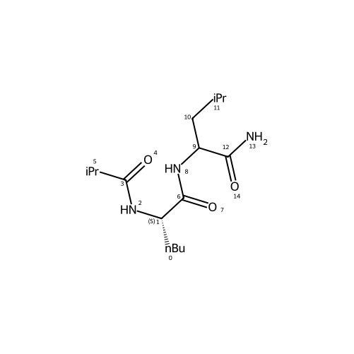 CCCC[C@H](NC(=O)C(C)C)C(=O)NC(CC(C)C)C(N)=O